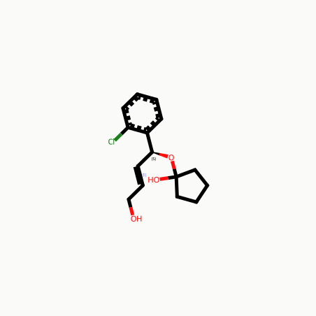 OC/C=C/[C@H](OC1(O)CCCC1)c1ccccc1Cl